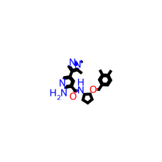 Cc1ccc(CO[C@H]2CCC[C@@H]2NC(=O)c2cc(-c3cnn(C)c3C)cnc2N)cc1C